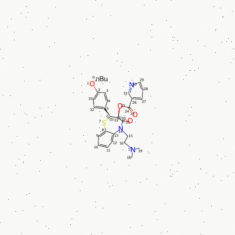 CCCCOc1ccc([C@@H]2Sc3ccccc3N(CCN(C)C)C(=O)[C@@H]2OC(=O)c2cccnc2)cc1